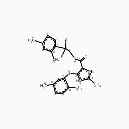 Cc1ccc(C(F)(F)CNC(=O)c2nc(C)[nH]c2Sc2cc(C)ccc2C)c(C)c1